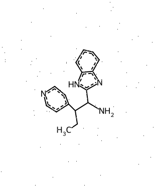 CCC(c1ccncc1)C(N)c1nc2ccccc2[nH]1